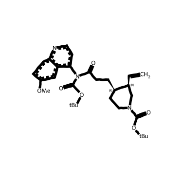 C=C[C@H]1CN(C(=O)OC(C)(C)C)CC[C@H]1CCC(=O)N(C(=O)OC(C)(C)C)c1ccnc2ccc(OC)cc12